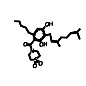 CCCCCc1cc(O)c(CC=C(C)CCC=C(C)C)c(O)c1C(=O)N1CCS(=O)(=O)CC1